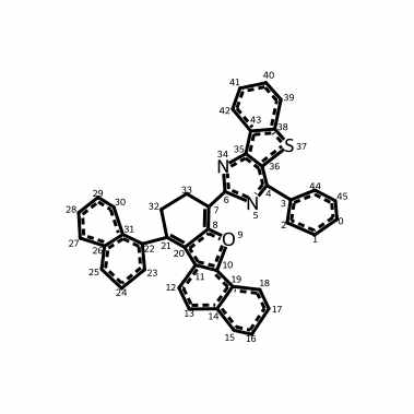 c1ccc(-c2nc(C3=c4oc5c(ccc6ccccc65)c4=C(c4cccc5ccccc45)CC3)nc3c2sc2ccccc23)cc1